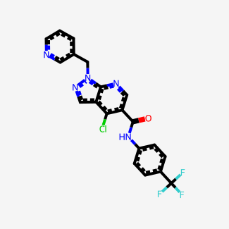 O=C(Nc1ccc(C(F)(F)F)cc1)c1cnc2c(cnn2Cc2cccnc2)c1Cl